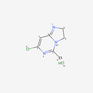 CCC1=NC(Cl)=CC2=NCCN21.Cl